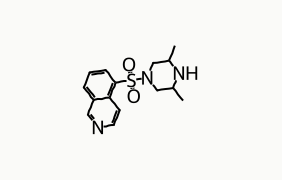 CC1CN(S(=O)(=O)c2cccc3cnccc23)CC(C)N1